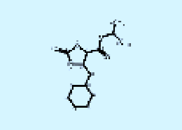 CC(C)OC(=O)C1OC(=O)NC1CC1CCCCC1